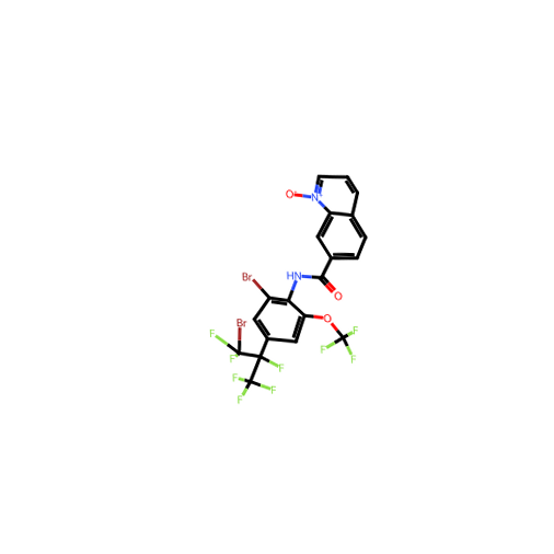 O=C(Nc1c(Br)cc(C(F)(C(F)(F)F)C(F)(F)Br)cc1OC(F)(F)F)c1ccc2ccc[n+]([O-])c2c1